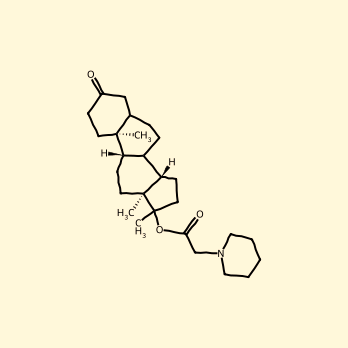 CC1(OC(=O)CN2CCCCC2)CC[C@H]2C3CCC4CC(=O)CC[C@]4(C)[C@H]3CC[C@@]21C